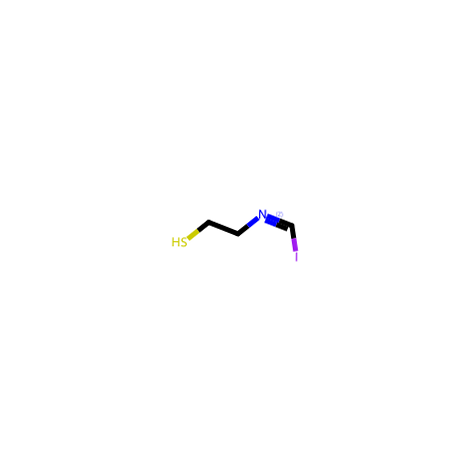 SCC/N=C\I